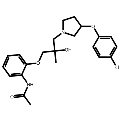 CC(=O)Nc1ccccc1OCC(C)(O)CN1CCC(Oc2ccc(Cl)cc2)C1